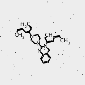 C=C/C(=C\C=C/C)N1CCN(C2=Nc3ccccc3CN2/C(C=C)=C/C=C\C)CC1